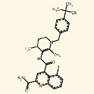 CC1=C(NC(=O)c2cc(C(N)=O)nc3cccc(F)c23)C(C(F)(F)F)CCN1Cc1ccc(C(C)(C)C#N)cc1